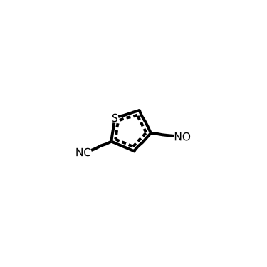 N#Cc1cc(N=O)cs1